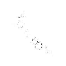 NC(=O)c1ccc2oc(C3CCN([C@@H]4CN[C@H](C(=O)N5CCSC5)C4)CC3)nc2c1